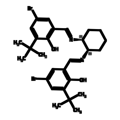 CC(C)(C)c1cc(Br)cc(C=N[C@@H]2CCCC[C@H]2N=Cc2cc(Br)cc(C(C)(C)C)c2O)c1O